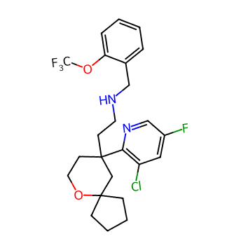 Fc1cnc(C2(CCNCc3ccccc3OC(F)(F)F)CCOC3(CCCC3)C2)c(Cl)c1